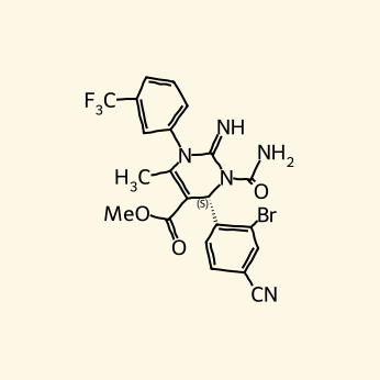 COC(=O)C1=C(C)N(c2cccc(C(F)(F)F)c2)C(=N)N(C(N)=O)[C@@H]1c1ccc(C#N)cc1Br